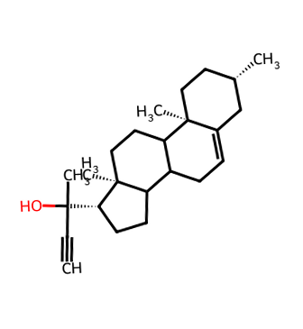 C#CC(C)(O)[C@H]1CCC2C3CC=C4C[C@@H](C)CC[C@]4(C)C3CC[C@@]21C